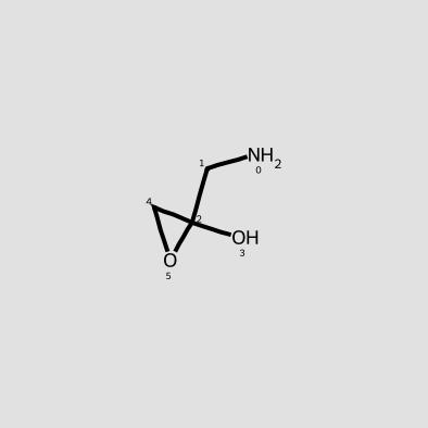 NCC1(O)CO1